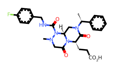 C[C@H](c1ccccc1)N1C[C@H]2N(C(=O)CN(C)N2C(=O)NCc2ccc(F)cc2)[C@@H](CCC(=O)O)C1=O